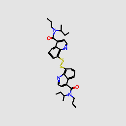 CCCN(C(=O)c1ccnc2c(SSc3cccc4c(C(=O)N(CCC)C(C)CC)ccnc34)cccc12)C(C)CC